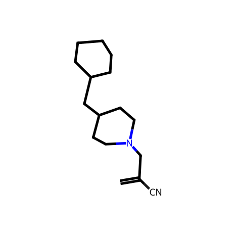 C=C(C#N)CN1CCC(CC2CCCCC2)CC1